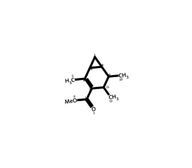 COC(=O)C1=C(C)C2CC2C(C)C1C